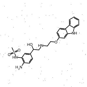 CS(=O)(=O)Nc1cc(C(O)CNCCOc2ccc3c(c2)[nH]c2ccccc23)ccc1N